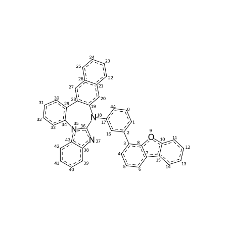 c1cc(-c2cccc3c2oc2ccccc23)cc(N2c3cc4ccccc4cc3-c3ccccc3-n3c2nc2ccccc23)c1